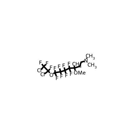 COC(C)(CCN(C)C)C(F)(F)C(F)(F)C(F)(F)C(F)(F)OC(F)(Cl)C(F)(F)Cl